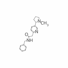 CN1CCCC1c1ccc(CC(=O)NCc2ccccc2)nc1